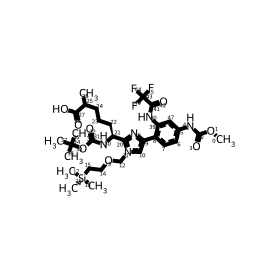 COC(=O)Nc1ccc(-c2cn(COCC[Si](C)(C)C)c([C@H](CCCC(C)C(=O)O)NC(=O)OC(C)(C)C)n2)c(NC(=O)C(F)(F)F)c1